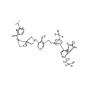 CC(C)c1nc(C(=O)N2CCOC3(CCN(Cc4cccc(CCNC[C@H](OC(=O)C(F)(F)F)c5ccc(OC(=O)C(F)(F)F)c6[nH]c(=O)sc56)c4Cl)CC3)C2)cs1